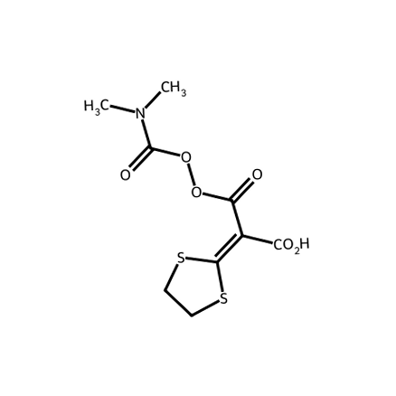 CN(C)C(=O)OOC(=O)C(C(=O)O)=C1SCCS1